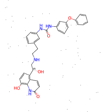 O=C(Nc1cccc(CCNC[C@H](O)c2ccc(O)c3[nH]c(=O)ccc23)c1)Nc1cccc(Oc2ccccc2)c1